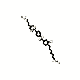 CCCCCCCCc1ccc(C(=O)Oc2ccc(-c3ncc(CCCCC)cn3)cc2)cc1Cl